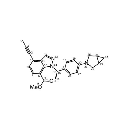 CC#Cc1ccc(C(=O)OC)c2c1cnn2[C@H](C)c1ccc(N2CC3CC3C2)cc1